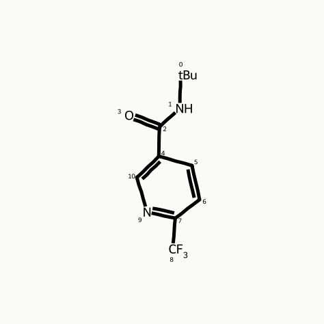 CC(C)(C)NC(=O)c1ccc(C(F)(F)F)nc1